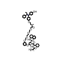 CC/C(=C(\c1ccc(O)cc1)c1ccc(OCCN(C)C(=O)COCCOCCOCCOc2cccc(O[C@H]3C[C@@H](C(=O)N[C@@H]4CCCc5ccccc54)N(C(=O)[C@@H](NC(=O)[C@H](C)NC)C4CCCCC4)C3)c2)cc1)c1ccccc1